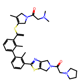 C=C(SC1=C(C)CN(C(=O)CN(C)C)C1)c1cccc(-c2cccc(-c3nc4c(s3)CN(C(=O)CN3CCCC3)C4)c2C)c1C